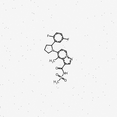 Cc1c(N2CCCC2c2cc(F)ccc2F)ccn2ncc(C(=O)NS(C)(=O)=O)c12